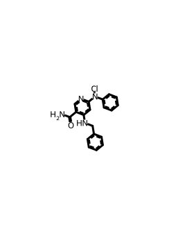 NC(=O)c1cnc(N(Cl)c2ccccc2)cc1NCc1ccccc1